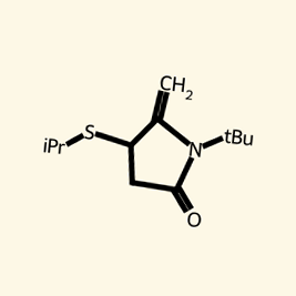 C=C1C(SC(C)C)CC(=O)N1C(C)(C)C